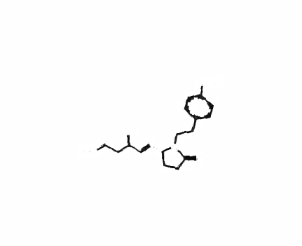 COCCC(O)C=C[C@H]1CCC(=O)N1CCc1ccc(C(=O)O)cc1